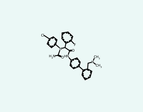 CN(C)Cc1ccccc1-c1ccc(NC(=O)C(c2ccccc2F)N(C(N)=O)c2ccc(Cl)cc2)cc1